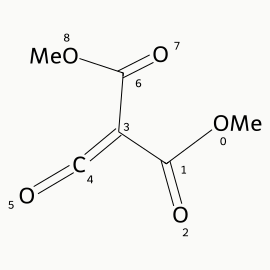 COC(=O)C(=C=O)C(=O)OC